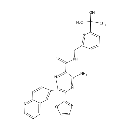 CC(C)(O)c1cccc(CNC(=O)c2nc(-c3ccc4ncccc4c3)c(-c3ncco3)nc2N)n1